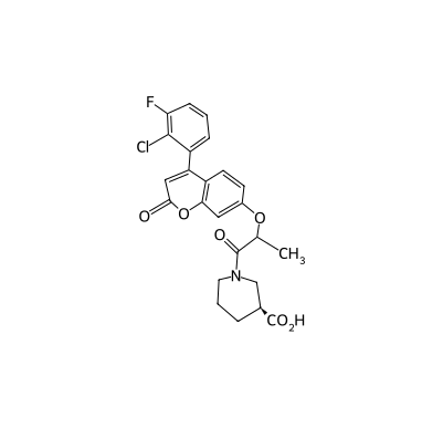 CC(Oc1ccc2c(-c3cccc(F)c3Cl)cc(=O)oc2c1)C(=O)N1CCC[C@H](C(=O)O)C1